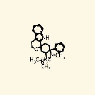 CN(C)CC1CC2(CCC1(c1ccccc1)N(C)C)OCCc1c2[nH]c2ccccc12